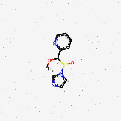 COC(c1ccccn1)[S+]([O-])n1ccnc1